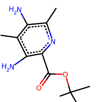 Cc1nc(C(=O)OC(C)(C)C)c(N)c(C)c1N